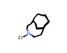 CCN1CCC2CCCC(C2)C1